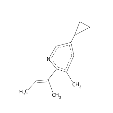 C/C=C(\C)c1ncc(C2CC2)cc1C